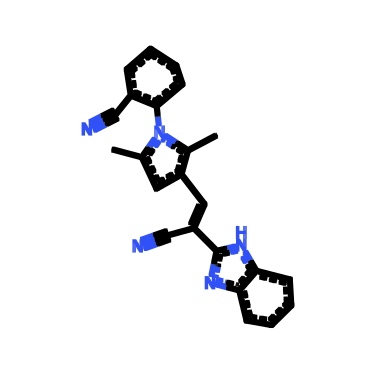 Cc1cc(C=C(C#N)c2nc3ccccc3[nH]2)c(C)n1-c1ccccc1C#N